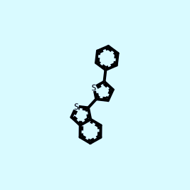 c1ccc(-c2ccc(-c3scc4ccccc34)s2)cc1